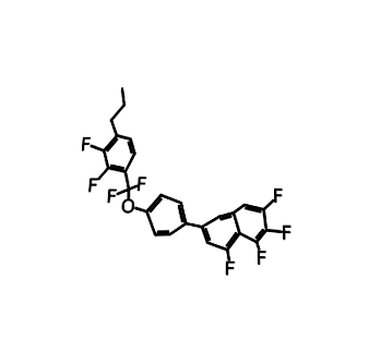 CCCc1ccc(C(F)(F)Oc2ccc(-c3cc(F)c4c(F)c(F)c(F)cc4c3)cc2)c(F)c1F